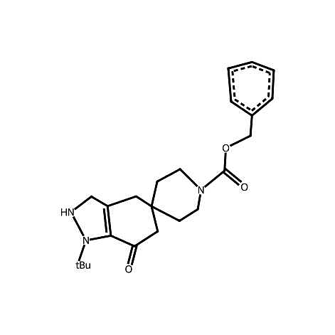 CC(C)(C)N1NCC2=C1C(=O)CC1(CCN(C(=O)OCc3ccccc3)CC1)C2